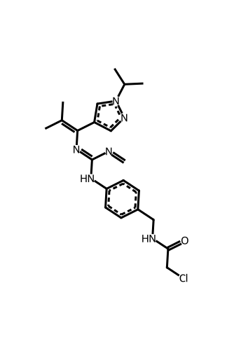 C=N/C(=N\C(=C(C)C)c1cnn(C(C)C)c1)Nc1ccc(CNC(=O)CCl)cc1